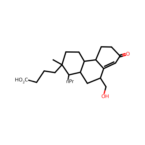 CCCC1C2CC(CO)C3=CC(=O)CCC3C2CCC1(C)CCCC(=O)O